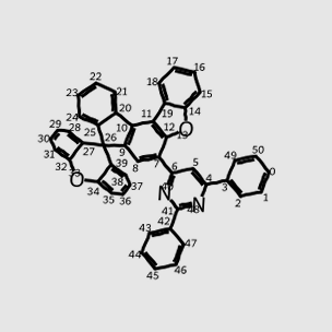 c1ccc(-c2cc(-c3cc4c(c5c3oc3ccccc35)-c3ccccc3C43c4ccccc4Oc4ccccc43)nc(-c3ccccc3)n2)cc1